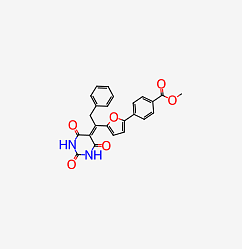 COC(=O)c1ccc(-c2ccc(C(Cc3ccccc3)=C3C(=O)NC(=O)NC3=O)o2)cc1